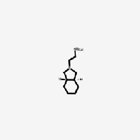 CCCCCCCCCN1C[C@H]2CCCC[C@@H]2C1